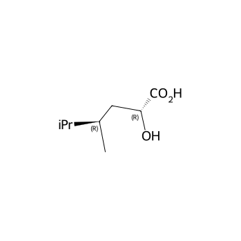 CC(C)[C@H](C)C[C@@H](O)C(=O)O